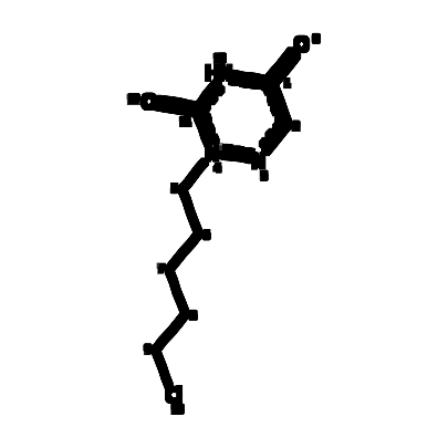 O=c1cnn(CCCCCCl)c(=O)[nH]1